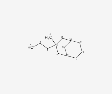 CC1(CCO)CC2CCCC(C2)C1